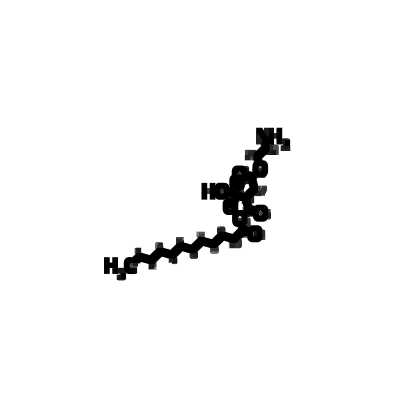 CCCCCCCCCCCC(=O)OC(=O)C(CC(=O)OCCN)S(=O)(=O)O